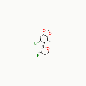 CC1C2=C(C=C(Br)C1[C@H]1C[C@@H](F)CCO1)OCO2